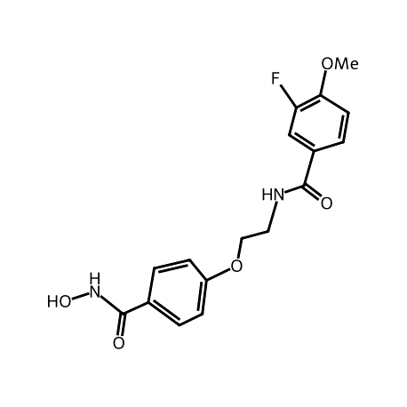 COc1ccc(C(=O)NCCOc2ccc(C(=O)NO)cc2)cc1F